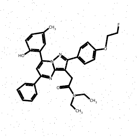 CCN(CC)C(=O)Cc1c(-c2ccc(OCCF)cc2)nn2c(-c3cc(C)ccc3O)cc(-c3ccccc3)nc12